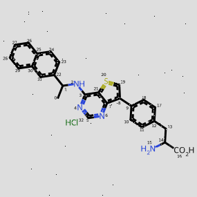 CC(Nc1ncnc2c(-c3ccc(CC(N)C(=O)O)cc3)csc12)c1ccc2ccccc2c1.Cl